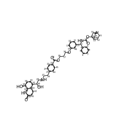 O=C(NC(c1ccccc1)c1cccc(OCCCOC(=O)c2ccc(CCNCC(O)c3ccc(O)c4[nH]c(=O)ccc34)cc2)c1)OC1CN2CCC1CC2